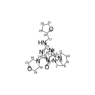 O=c1cccc2n1CC1CCC2N(c2nc(NCC3CCCO3)nc(N3CCOCC3)n2)C1